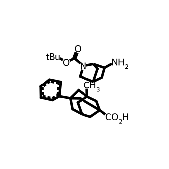 CC(C)(C)OC(=O)N1CC2CC(N)C1C2.CC12CC3CC(C(=O)O)(C1)CC(c1ccccc1)(C3)C2